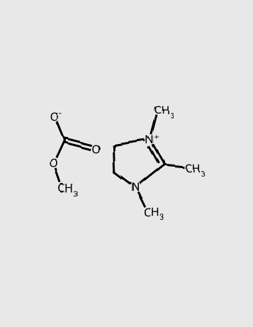 CC1=[N+](C)CCN1C.COC(=O)[O-]